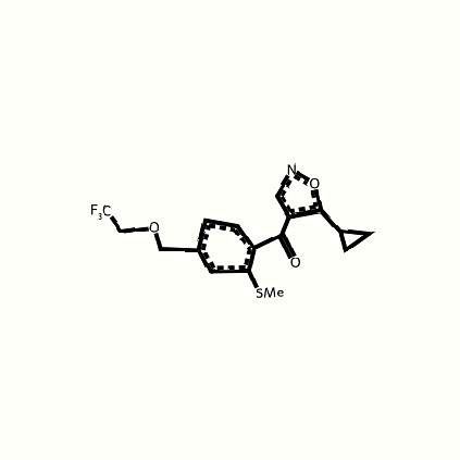 CSc1cc(COCC(F)(F)F)ccc1C(=O)c1cnoc1C1CC1